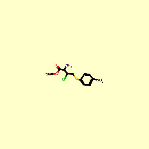 CC(C)(C)OC(=O)C(N)C(Cl)CSc1ccc([N+](=O)[O-])cc1